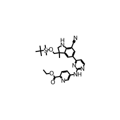 CCOC(=O)c1ccc(Nc2nccc(-c3cc(C#N)c4c(c3)C(C)(CO[Si](C)(C)C(C)(C)C)CN4)n2)cn1